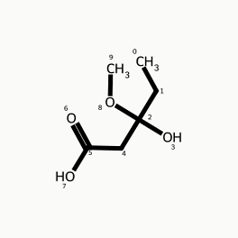 CCC(O)(CC(=O)O)OC